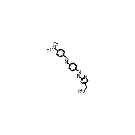 CCC(C)Cc1cnc(/N=N/c2ccc(/N=N/c3ccc(N(CC)CC)cc3)cc2)s1